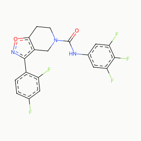 O=C(Nc1cc(F)c(F)c(F)c1)N1CCc2onc(-c3ccc(F)cc3F)c2C1